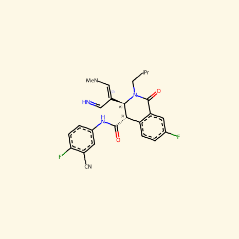 CN/C=C(\C=N)[C@@H]1[C@@H](C(=O)Nc2ccc(F)c(C#N)c2)c2ccc(F)cc2C(=O)N1CC(C)C